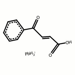 O=C(O)C=CC(=O)c1ccccc1.[PbH2]